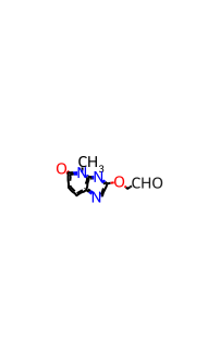 Cn1c(=O)ccc2ncc(OCC=O)nc21